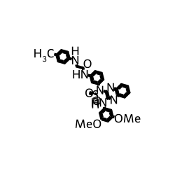 COc1cc(Nc2nc3ccccc3nc2N(c2cccc(NC(=O)CNc3ccc(C)cc3)c2)[SH](=O)=O)cc(OC)c1